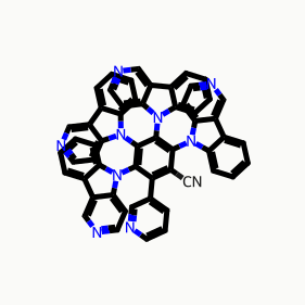 N#Cc1c(-c2cccnc2)c(-n2c3ccccc3c3cnccc32)c(-n2c3ccccc3c3cnccc32)c(-n2c3ccccc3c3cnccc32)c1-n1c2ccccc2c2cnccc21